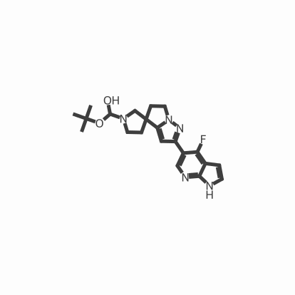 CC(C)(C)OC(O)N1CCC2(CCn3nc(-c4cnc5[nH]ccc5c4F)cc32)C1